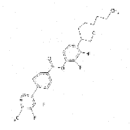 CCCC1CCC(c2ccc(OC(=O)c3ccc(-c4ccc(C)c(F)c4F)cc3)c(F)c2F)CC1